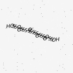 O=C(CSCSCSCC[S+]([O-])CSCSCSCSC(=O)CSCSCSCC(=O)OCCSCSCO)OCCSCSCO